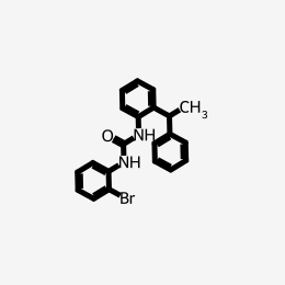 CC(c1ccccc1)c1ccccc1NC(=O)Nc1ccccc1Br